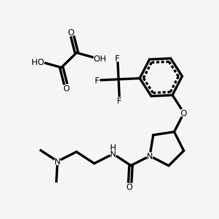 CN(C)CCNC(=O)N1CCC(Oc2cccc(C(F)(F)F)c2)C1.O=C(O)C(=O)O